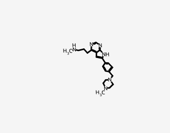 CNCCCc1ncnc2[nH]c(-c3ccc(CN4CCN(C)CC4)cc3)cc12